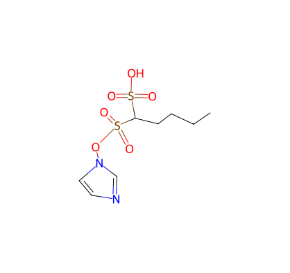 CCCCC(S(=O)(=O)O)S(=O)(=O)On1ccnc1